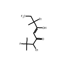 CCC(C(=O)/C=C(\O)C(C)(CC)CC(F)(F)F)C(C)(C)F